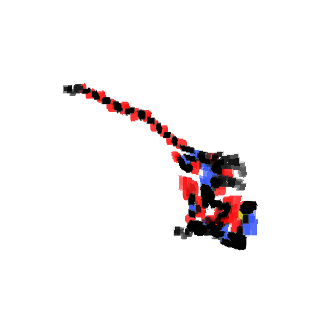 COCCOCCOCCOCCOCCOCCOCCOCCOCCOCCOCCN(CCC(=O)N[C@H](C(=O)N[C@@H](C)C(=O)Nc1ccc(COC(=O)N(CCOC23CC(C)C4CCC(C)(C2)CC4(Cn2ncc(-c4ccc(N5CCc6cccc(C(=O)Nc7nc8ccccc8s7)c6C5)nc4C(=O)O)c2C)C3)CCS(=O)(=O)O)c(CC[C@@H]2O[C@H](C(=O)O)[C@@H](O)[C@H](O)[C@H]2O)c1)C(C)C)C(=O)CN1C(=O)C=CC1=O